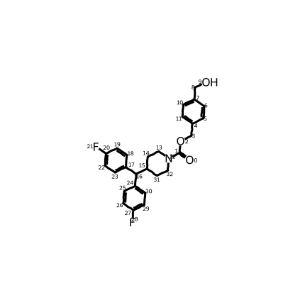 O=C(OCc1ccc(CO)cc1)N1CCC(C(c2ccc(F)cc2)c2ccc(F)cc2)CC1